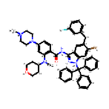 CC(=O)N(c1cc(N2CCN(C)CC2)ccc1C(=O)Nc1nn(C(c2ccccc2)(c2ccccc2)c2ccccc2)c2cc(Br)c(Cc3cccc(F)c3)cc12)C1CCOCC1